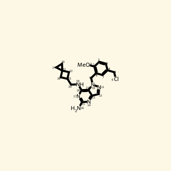 COc1ccc(CCl)cc1Cn1ncc2nc(N)nc(NCC3CC4(CC4)C3)c21